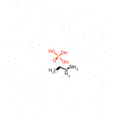 C=C[SiH2][SiH3].O=P(O)(O)O